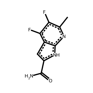 Cc1nc2[nH]c(C(N)=O)cc2c(F)c1F